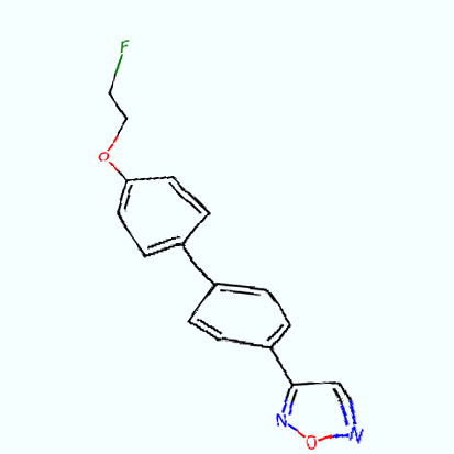 FCCOc1ccc(-c2ccc(-c3cnon3)cc2)cc1